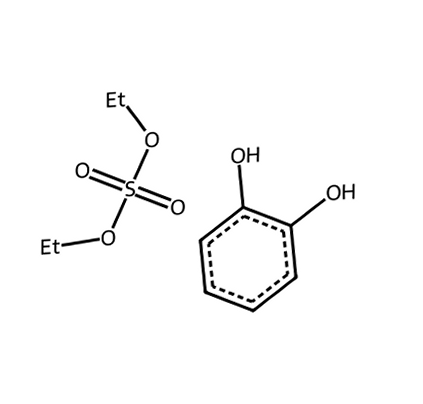 CCOS(=O)(=O)OCC.Oc1ccccc1O